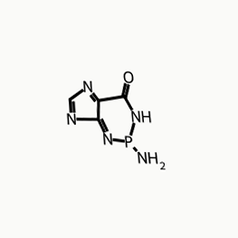 Np1nc2ncnc-2c(=O)[nH]1